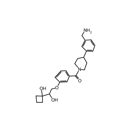 NCc1cccc(C2CCN(C(=O)c3cccc(OCC(O)C4(O)CCC4)c3)CC2)c1